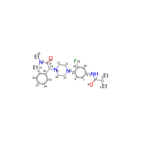 CCC(CC)C(=O)Nc1ccc(N2CCN(C(C(=O)N(CC)CC)c3ccccc3)CC2)c(F)c1